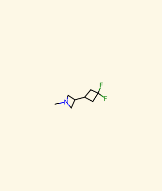 CN1CC(C2CC(F)(F)C2)C1